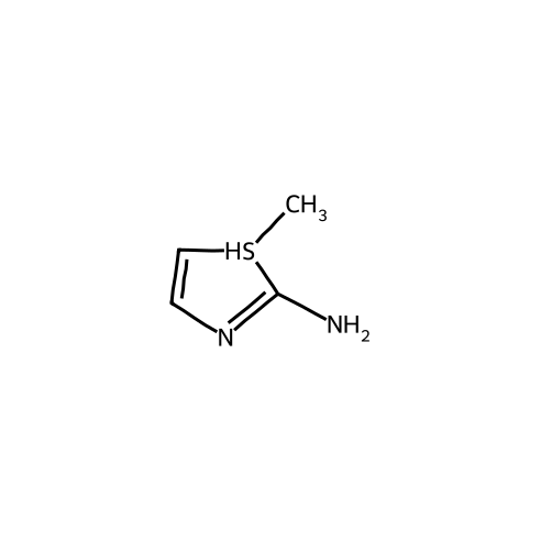 C[SH]1C=CN=C1N